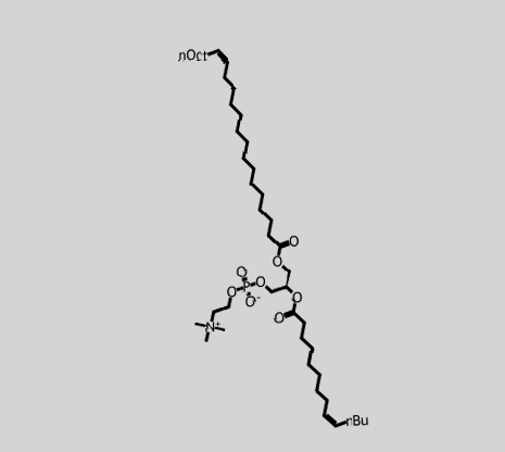 CCCC/C=C\CCCCCCCC(=O)O[C@H](COC(=O)CCCCCCCCCCCCC/C=C\CCCCCCCC)COP(=O)([O-])OCC[N+](C)(C)C